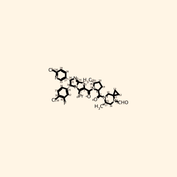 CC(C)C1=C(C(=O)N2C(C(=O)N3CC4(CC4)N(C=O)C[C@@H]3C)CC[C@H]2C)SC2=N[C@@H](c3ccc(Cl)nc3)[C@@H](c3ccc(Cl)c(F)c3)N21